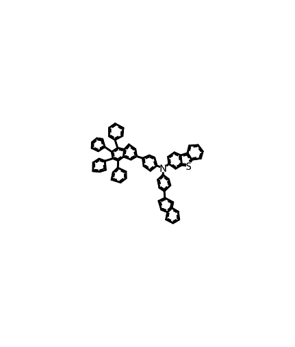 c1ccc(-c2c(-c3ccccc3)c(-c3ccccc3)c3cc(-c4ccc(N(c5ccc(-c6ccc7ccccc7c6)cc5)c5ccc6c(c5)sc5ccccc56)cc4)ccc3c2-c2ccccc2)cc1